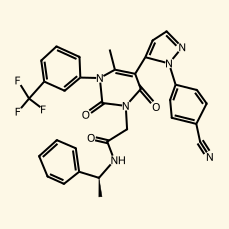 Cc1c(-c2ccnn2-c2ccc(C#N)cc2)c(=O)n(CC(=O)N[C@@H](C)c2ccccc2)c(=O)n1-c1cccc(C(F)(F)F)c1